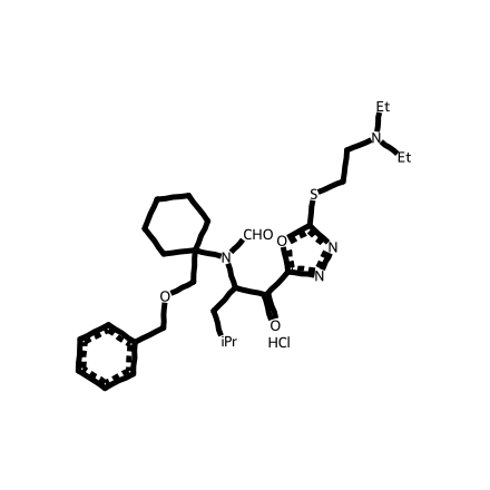 CCN(CC)CCSc1nnc(C(=O)C(CC(C)C)N(C=O)C2(COCc3ccccc3)CCCCC2)o1.Cl